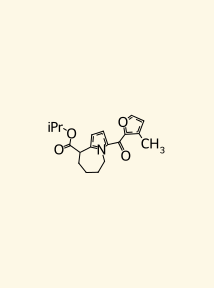 Cc1ccoc1C(=O)c1ccc2n1CCCCC2C(=O)OC(C)C